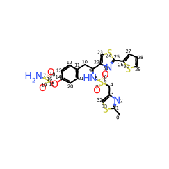 Cc1nc(CS(=O)(=O)NC(Cc2ccc(OS(N)(=O)=O)cc2)c2csc(-c3cccs3)n2)cs1